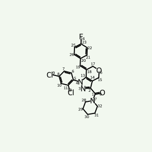 O=C(c1nn(-c2ccc(Cl)cc2Cl)c2c1COC/C2=C\c1ccc(F)cc1)N1CCCCC1